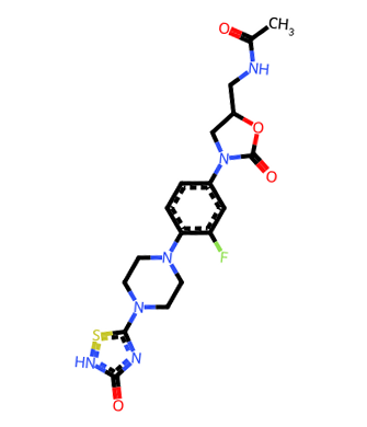 CC(=O)NCC1CN(c2ccc(N3CCN(c4nc(=O)[nH]s4)CC3)c(F)c2)C(=O)O1